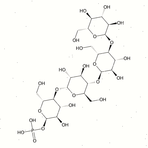 O=P(O)(O)O[C@H]1O[C@H](CO)[C@@H](O[C@H]2O[C@H](CO)[C@@H](O[C@H]3O[C@H](CO)[C@@H](O[C@H]4O[C@H](CO)[C@@H](O)[C@H](O)[C@H]4O)[C@H](O)[C@H]3O)[C@H](O)[C@H]2O)[C@H](O)[C@H]1O